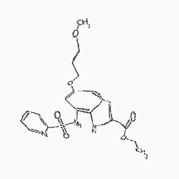 CCOC(=O)c1cc2cc(OCCCOC)cc(NS(=O)(=O)c3ccccn3)c2[nH]1